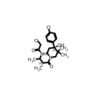 CC(NC(=O)CCl)[C@@H](C)C(=O)N1CC[C@](O)(c2ccc(Cl)cc2)C(C)(C)C1